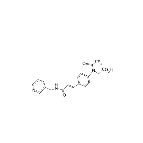 O=C(O)CN(C(=O)C(F)(F)F)c1ccc(C=CC(=O)NCc2cccnc2)cc1